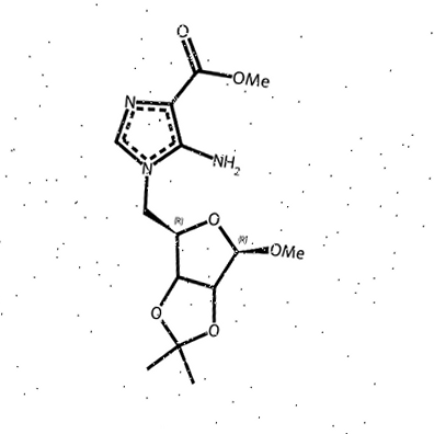 COC(=O)c1ncn(C[C@H]2O[C@@H](OC)C3OC(C)(C)OC32)c1N